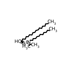 CCCCCCCCCCCCCCCCCC(=O)O.CCCCCCCCCCCCCN(C)C(C)C